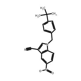 CC(C)(C)c1ccc(Cn2cc(C#N)c3cc([N+](=O)[O-])ccc32)cc1